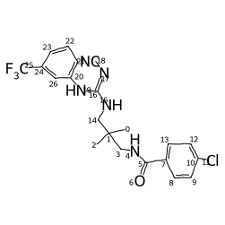 CC(C)(CNC(=O)c1ccc(Cl)cc1)CNC(=NC#N)Nc1cccc(C(F)(F)F)c1